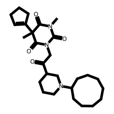 CN1C(=O)N(CC(=O)C2CCCN(C3CCCCCCCC3)C2)C(=O)C(C)(C2=CCCC2)C1=O